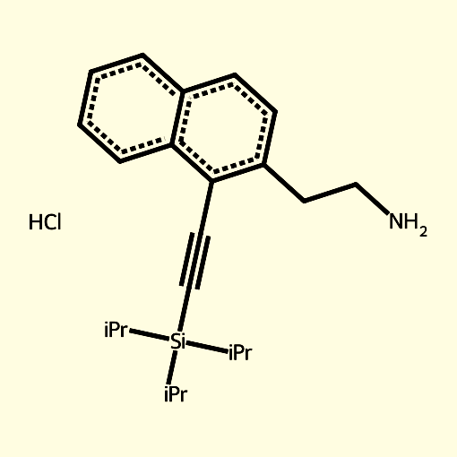 CC(C)[Si](C#Cc1c(CCN)ccc2ccccc12)(C(C)C)C(C)C.Cl